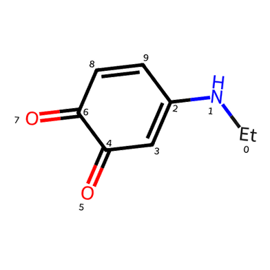 CCNC1=CC(=O)C(=O)C=C1